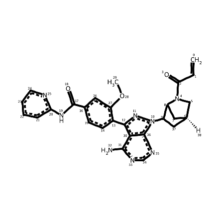 C=CC(=O)N1C[C@@H]2CC1C(n1nc(-c3ccc(C(=O)Nc4ccccn4)cc3OC)c3c(N)ncnc31)C2